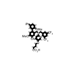 COc1cc(CN(Cc2cc(C(F)(F)F)cc(C(F)(F)F)c2)c2ccc(OCCCC(=O)O)cn2)c(-c2cc(C(C)C)ccc2OC)cc1OC